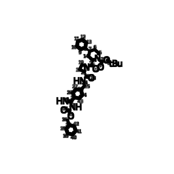 CC(C)(C)OC(=O)N1CC[C@H](c2ccccc2)C[C@@H]1C(=O)N1CC[C@H]1C(=O)NCc1ccc(C(=N)NC(=O)OCc2ccccc2)cc1